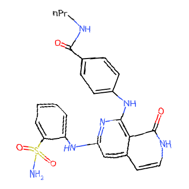 CCCNC(=O)c1ccc(Nc2nc(Nc3ccccc3S(N)(=O)=O)cc3cc[nH]c(=O)c23)cc1